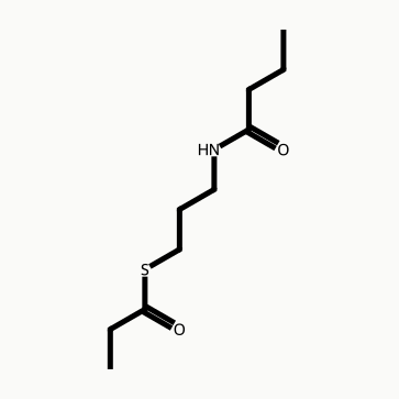 CCCC(=O)NCCCSC(=O)CC